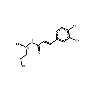 O=C(C=Cc1ccc(O)c(O)c1)N[C@@H](CCO)C(=O)O